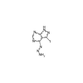 NN=Nc1ncnc2[nH]nc(I)c12